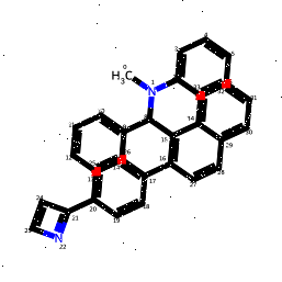 CN(c1ccccc1)C(c1ccccc1)c1c(-c2ccc(C3=NC=C3)cc2)ccc2ccccc12